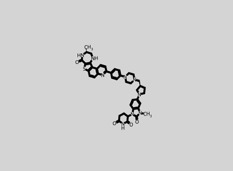 C[C@@H]1CNc2c(sc3ccc4nc(-c5ccc(N6CCN(C[C@H]7CCN(c8ccc9c(c8)n(C)c(=O)n9C8CCC(=O)NC8=O)C7)CC6)cc5)ccc4c23)C(=O)N1